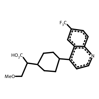 COCC(C(=O)O)C1CCC(c2ccnc3ccc(C(F)(F)F)cc23)CC1